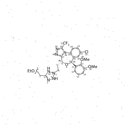 CCOC(=O)CC1=NNN(CC[C@H]2O[C@H](c3cccc(OC)c3OC)c3cc(Cl)ccc3-n3c2nnc3C(F)(F)F)N1